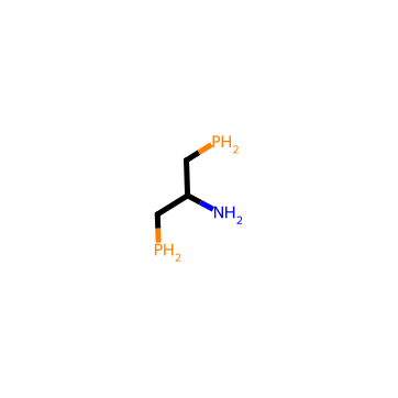 NC(CP)CP